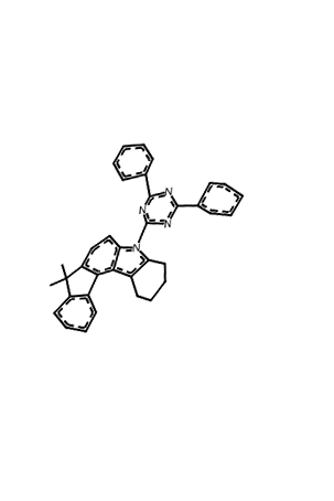 CC1(C)c2ccccc2-c2c1ccc1c2c2c(n1-c1nc(-c3ccccc3)nc(-c3ccccc3)n1)CCCC2